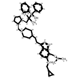 CN(C)Cc1c(OCC2CC2)ccc2c(CCC3CCN(C[C@H]4CCC[C@H]4CC(C)(C)[Si](O)(c4ccccc4)c4ccccc4)CC3)noc12